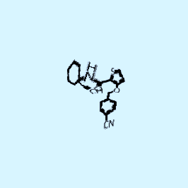 C#CC1(NC(=O)c2sccc2OCc2ccc(C#N)cc2)CCCCC1